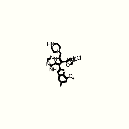 COc1cc(C)cc2cc(-c3c(-c4cnco4)c(CN4CCNCC4)n4ncnc(N)c34)sc12.Cl.Cl.Cl